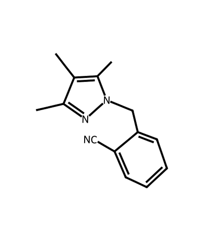 Cc1nn(Cc2ccccc2C#N)c(C)c1C